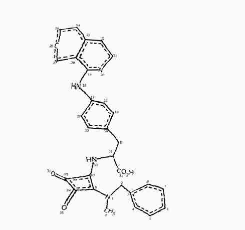 CN(Cc1ccccc1)c1c(NC(Cc2ccc(Nc3nccc4ccccc34)cc2)C(=O)O)c(=O)c1=O